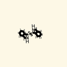 c1ccc2c(SSc3[nH]cc4ccccc34)[nH]cc2c1